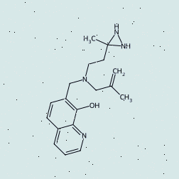 C=C(C)CN(CCC1(C)NN1)Cc1ccc2cccnc2c1O